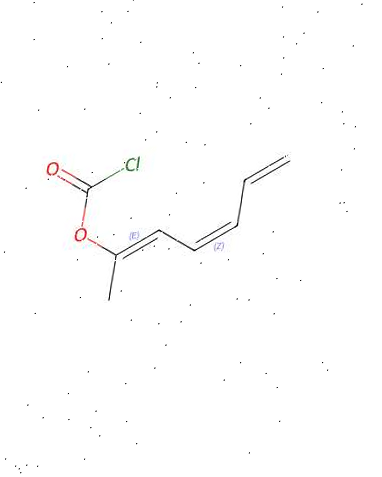 C=C/C=C\C=C(/C)OC(=O)Cl